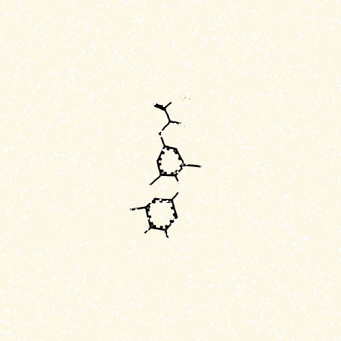 COC(=O)C(N)Cc1cc(I)c(Oc2cc(I)c(O)c(I)c2)c(I)c1.Cl